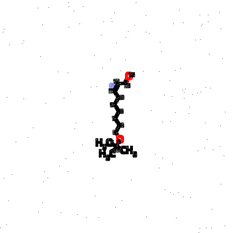 CC(C)(C)OCCCCCC/C=C\C=O